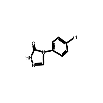 O=c1[nH]ncn1-c1ccc(Cl)cc1